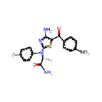 C[C@H](C(N)=O)N(c1ccc(F)cc1)c1nc(N)c(C(=O)c2ccc([N+](=O)[O-])cc2)s1